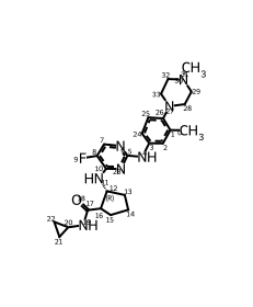 Cc1cc(Nc2ncc(F)c(N[C@@H]3CCCC3C(=O)NC3CC3)n2)ccc1N1CCN(C)CC1